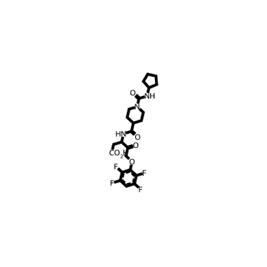 O=C(O)CC(NC(=O)C1CCN(C(=O)NC2CCCC2)CC1)C(=O)COc1c(F)c(F)cc(F)c1F